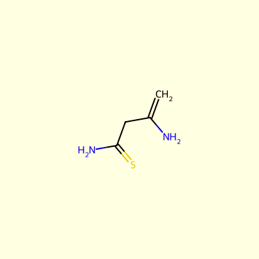 C=C(N)CC(N)=S